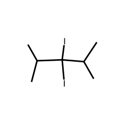 CC(C)C(I)(I)C(C)C